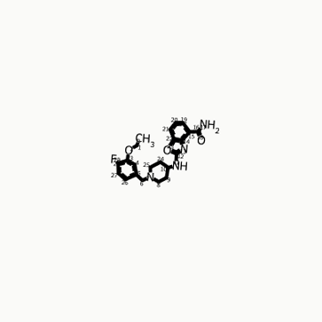 CCOc1cc(CN2CCC(Nc3nc4c(C(N)=O)[c]ccc4o3)CC2)ccc1F